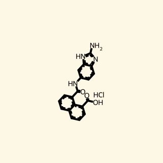 Cl.Nc1nc2ccc(NC(=O)c3cccc4cccc(C(=O)O)c34)cc2[nH]1